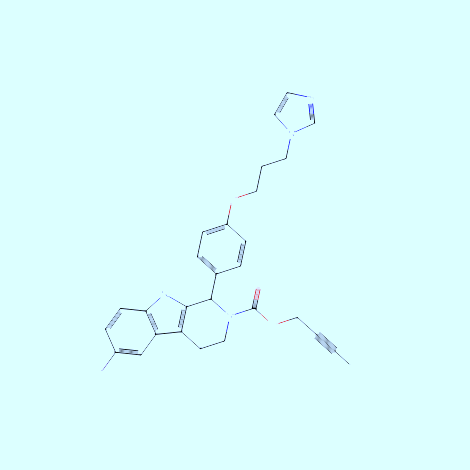 CC#CCOC(=O)N1CCc2c([nH]c3ccc(I)cc23)C1c1ccc(OCCCn2ccnc2)cc1